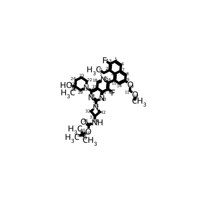 CCc1c(F)ccc2cc(OCOC)cc(-c3ncc4c(N5CCC[C@@](C)(O)C5)nc(N5CC(NC(=O)OC(C)(C)C)C5)nc4c3F)c12